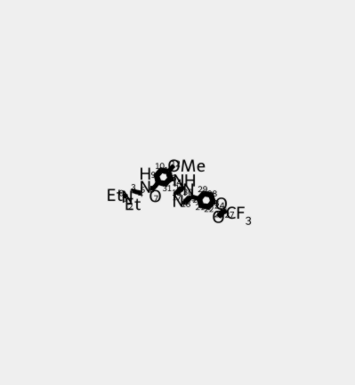 CCN(CC)CCNC(=O)c1ccc(OC)c(Nc2cncc(-c3ccc(OC(=O)C(F)(F)F)cc3)n2)c1